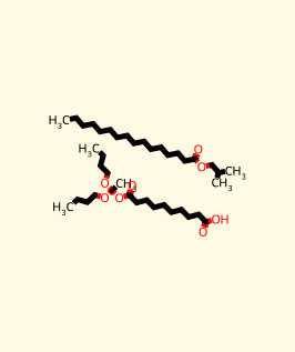 CCCCCCCCCCCCCCCC(=O)OCC(C)C.CCCCOC(C)(OCCCC)OC(=O)CCCCCCCCC(=O)O